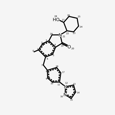 Cc1cc2c(cc1Cc1ccc(-n3cccn3)cc1)C(=O)N(C1CCCCC1O)C2